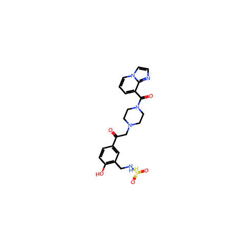 O=C(CN1CCN(C(=O)c2cccn3ccnc23)CC1)c1ccc(O)c(CN[SH](=O)=O)c1